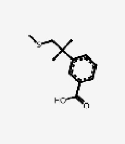 CSCC(C)(C)c1cccc(C(=O)O)c1